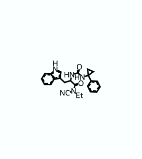 CCN(C#N)C(=O)C(Cc1c[nH]c2ccccc12)NC(=O)NC1(c2ccccc2)CC1